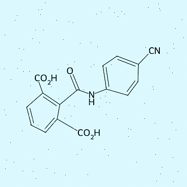 N#Cc1ccc(NC(=O)c2c(C(=O)O)cccc2C(=O)O)cc1